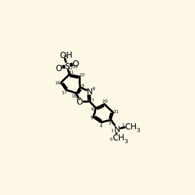 CN(C)c1ccc(-c2nc3cc(S(=O)(=O)O)ccc3o2)cc1